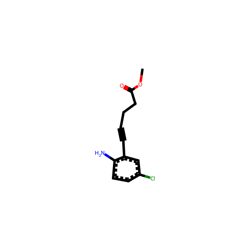 COC(=O)CCC#Cc1cc(Cl)ccc1N